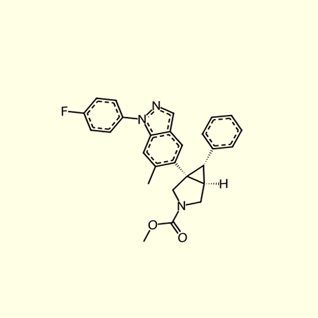 COC(=O)N1C[C@@H]2[C@@H](c3ccccc3)[C@]2(c2cc3cnn(-c4ccc(F)cc4)c3cc2C)C1